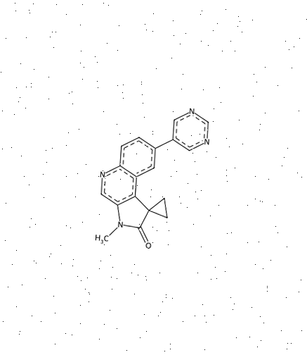 CN1C(=O)C2(CC2)c2c1cnc1ccc(-c3cncnc3)cc21